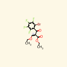 CCO/C=C(\C(=O)OCC)C(=O)c1c(F)c(F)c(F)c(F)c1Br